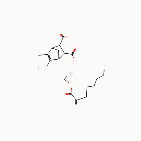 C=C(CCCCCC)C(=O)OCC.CC1=C(C)C2CC1C(C(=O)O)C2C(=O)O